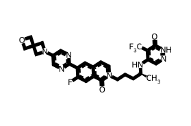 C[C@@H](CCCn1ccc2cc(-c3ncc(N4CC5(COC5)C4)cn3)c(F)cc2c1=O)Nc1cn[nH]c(=O)c1C(F)(F)F